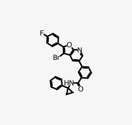 O=C(NC1(c2ccccc2)CC1)c1cccc(-c2cnc3oc(-c4ccc(F)cc4)c(Br)c3c2)c1